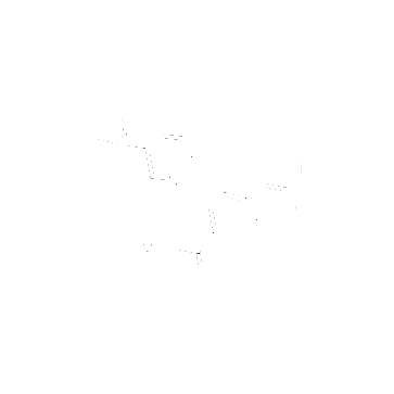 CCS(=O)(=O)c1ccc(Oc2cc(C(=O)OC)cc3ccc(Br)cc23)nc1